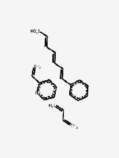 C=CC=C.C=Cc1ccccn1.O=S(=O)(O)C=CC=CC=Cc1ccccc1